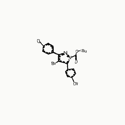 CC(C)(C)OC(=O)n1nc(-c2ccc(Cl)cc2)c(Br)c1-c1ccc(C#N)cc1